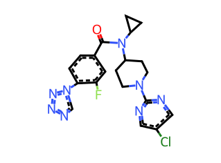 O=C(c1ccc(-n2cnnn2)c(F)c1)N(C1CC1)C1CCN(c2ncc(Cl)cn2)CC1